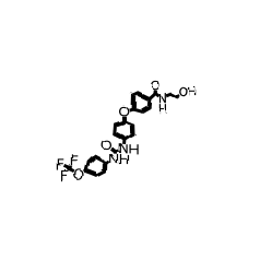 O=C(Nc1ccc(Oc2ccc(C(=O)NCCO)cc2)cc1)Nc1ccc(OC(F)(F)F)cc1